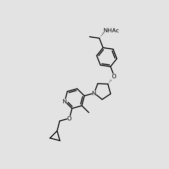 CC(=O)N[C@@H](C)c1ccc(O[C@@H]2CCN(c3ccnc(OCC4CC4)c3C)C2)cc1